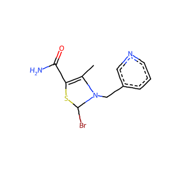 CC1=C(C(N)=O)SC(Br)N1Cc1cccnc1